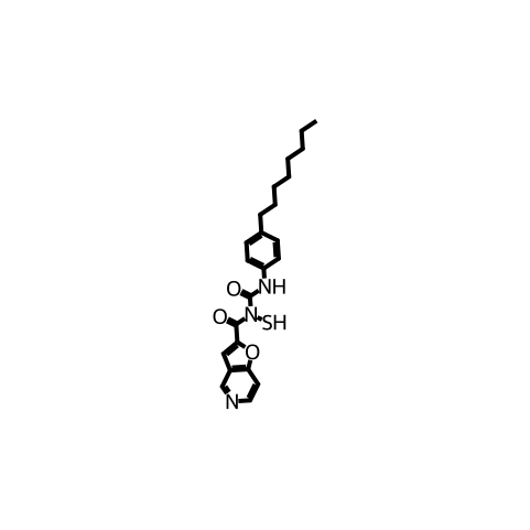 CCCCCCCCc1ccc(NC(=O)N(S)C(=O)c2cc3cnccc3o2)cc1